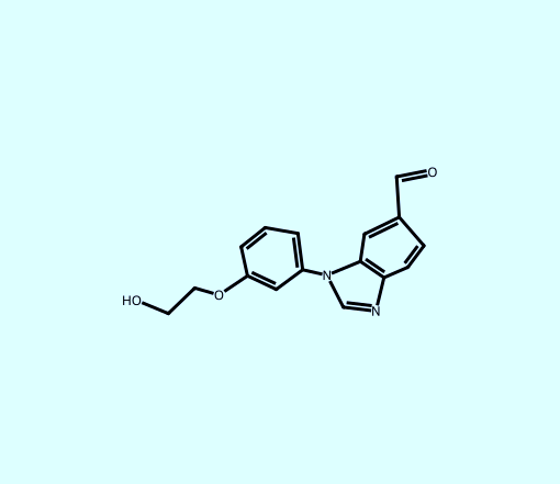 O=Cc1ccc2ncn(-c3cccc(OCCO)c3)c2c1